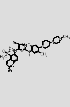 COc1cc(N2CCC(N3CCN(C)CC3)CC2)c(C)cc1Nc1ncc(Br)c(Nc2ccc3nc(C(C)C)ccc3c2P(C)(C)=O)n1